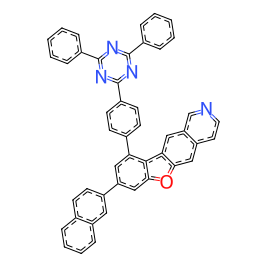 c1ccc(-c2nc(-c3ccccc3)nc(-c3ccc(-c4cc(-c5ccc6ccccc6c5)cc5oc6cc7ccncc7cc6c45)cc3)n2)cc1